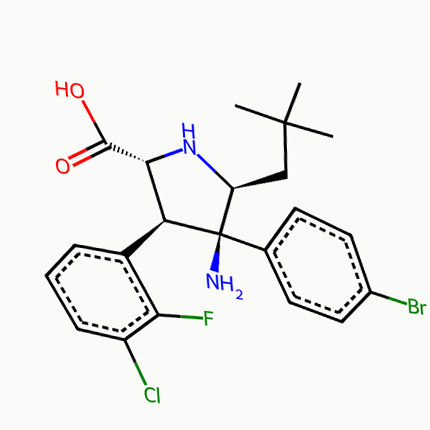 CC(C)(C)C[C@@H]1N[C@@H](C(=O)O)[C@H](c2cccc(Cl)c2F)[C@@]1(N)c1ccc(Br)cc1